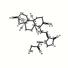 C=C1CC[C@@H]2[C@]3(C)COS(=O)O[C@@H]3CC[C@@]2(C)[C@@H]1C/C=C1/C(=O)OC[C@H]1NC(=O)CO